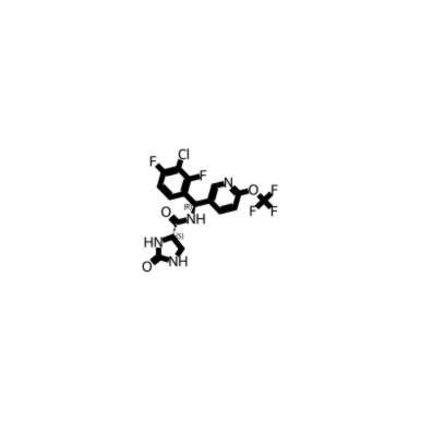 O=C1NC[C@@H](C(=O)N[C@H](c2ccc(OC(F)(F)F)nc2)c2ccc(F)c(Cl)c2F)N1